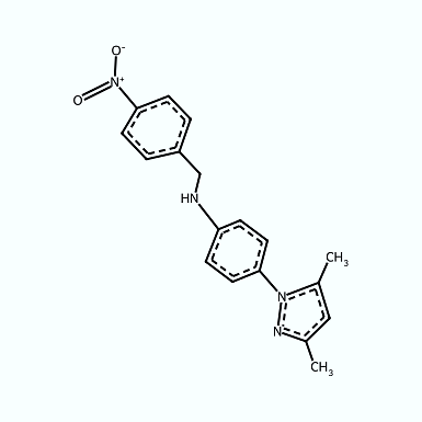 Cc1cc(C)n(-c2ccc(NCc3ccc([N+](=O)[O-])cc3)cc2)n1